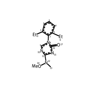 CCc1cccc(CC)c1-n1cnc(N(C)OC)nc1=O